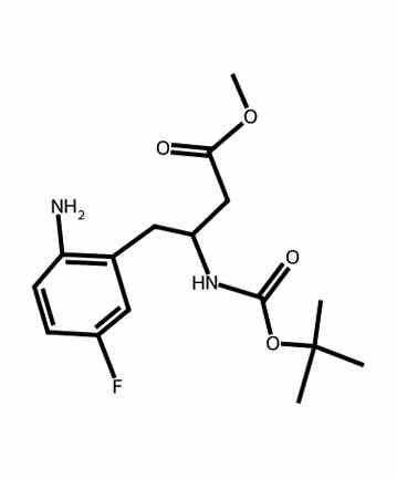 COC(=O)CC(Cc1cc(F)ccc1N)NC(=O)OC(C)(C)C